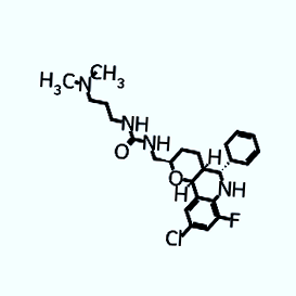 CN(C)CCCNC(=O)NC[C@H]1CC[C@@H]2[C@H](O1)c1cc(Cl)cc(F)c1N[C@H]2C1C=CC=CC1